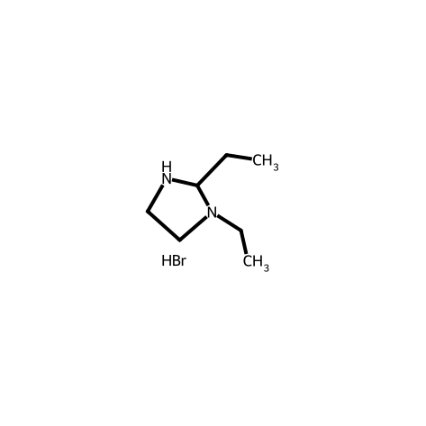 Br.CCC1NCCN1CC